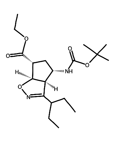 CCOC(=O)[C@@H]1C[C@H](NC(=O)OC(C)(C)C)[C@H]2C(C(CC)CC)=NO[C@H]21